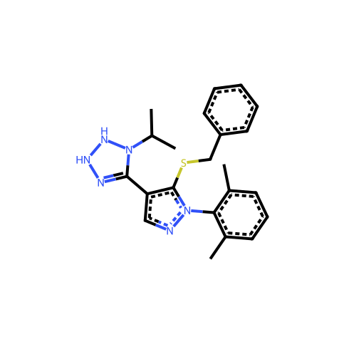 Cc1cccc(C)c1-n1ncc(C2=NNNN2C(C)C)c1SCc1ccccc1